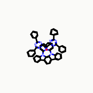 c1ccc(-c2nc(-c3ccccc3)nc(-c3cccc(-n4c5ccccc5c5ccc6c7ccccc7n(-c7cccc(-c8nc(-c9ccccc9)nc(-c9ccccc9)n8)n7)c6c54)n3)n2)cc1